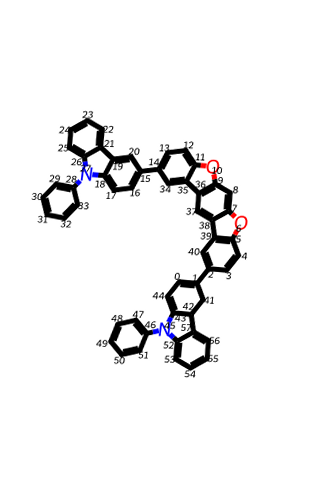 C1=C(c2ccc3oc4cc5oc6ccc(-c7ccc8c(c7)c7ccccc7n8-c7ccccc7)cc6c5cc4c3c2)CC2C(=C1)N(c1ccccc1)c1ccccc12